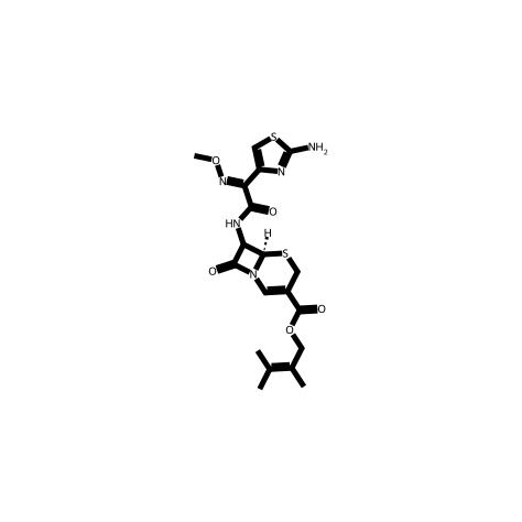 CON=C(C(=O)NC1C(=O)N2C=C(C(=O)OCC(C)=C(C)C)CS[C@H]12)c1csc(N)n1